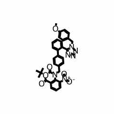 COc1ccc(Cn2nnnc2-c2ccccc2-c2ccc(CN(C(=O)OC(C)(C)C)c3c(C(C)=O)cccc3[N+](=O)[O-])cc2)cc1